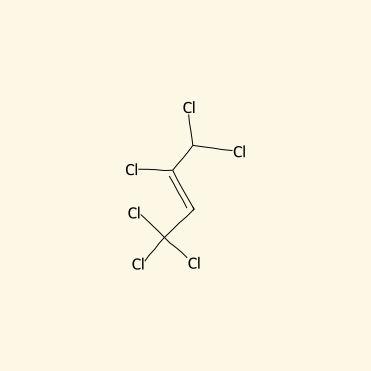 ClC(=CC(Cl)(Cl)Cl)C(Cl)Cl